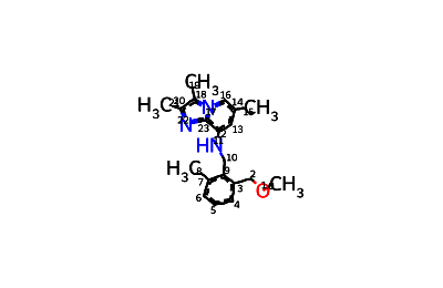 COCc1cccc(C)c1CNc1cc(C)cn2c(C)c(C)nc12